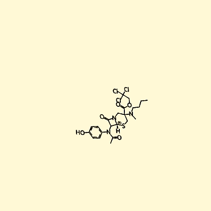 CCCCN(C)C1(C(=O)OCC(Cl)(Cl)Cl)CS[C@@H]2C(N(C(C)=O)c3ccc(O)cc3)C(=O)N2C1